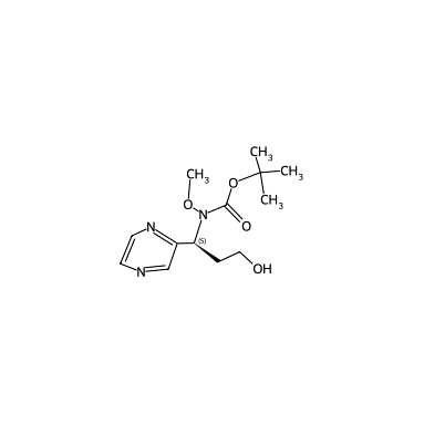 CON(C(=O)OC(C)(C)C)[C@@H](CCO)c1cnccn1